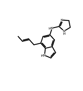 CC=CCc1cc(NC2=NCCN2)cc2cc[nH]c12